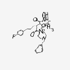 CCCC[N+]1(C(=O)[C@H](CCCc2ccc(F)cc2)[C@H](O)C(=O)NO)CCN(Cc2ccccc2)CC1